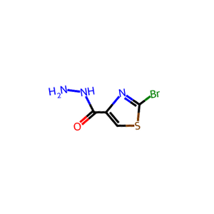 NNC(=O)c1csc(Br)n1